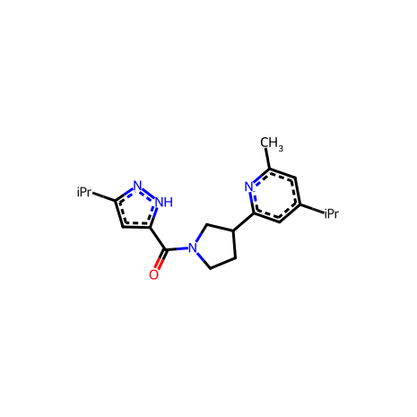 Cc1cc(C(C)C)cc(C2CCN(C(=O)c3cc(C(C)C)n[nH]3)C2)n1